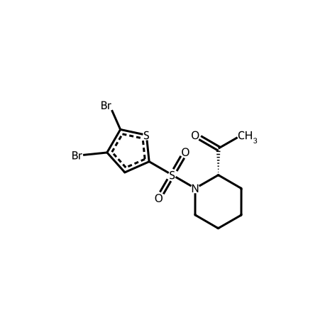 CC(=O)[C@@H]1CCCCN1S(=O)(=O)c1cc(Br)c(Br)s1